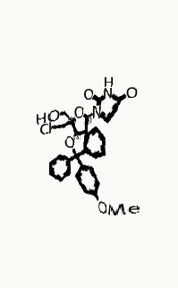 COc1ccc(C(O[C@H]2C[C@H](n3ccc(=O)[nH]c3=O)O[C@@]2(CO)CCl)(c2ccccc2)c2ccccc2)cc1